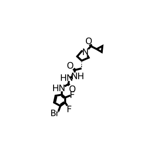 O=C(C[C@@H]1CCN(C(=O)C2CC2)C1)NNC(=O)Nc1ccc(Br)c(F)c1F